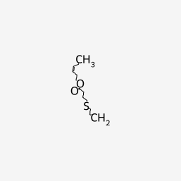 C=CCSCCCC(=O)OCC/C=C\CC